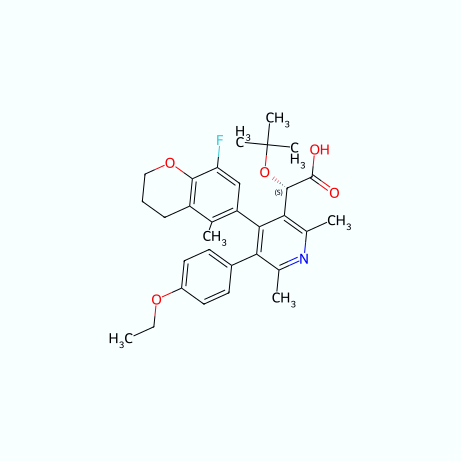 CCOc1ccc(-c2c(C)nc(C)c([C@H](OC(C)(C)C)C(=O)O)c2-c2cc(F)c3c(c2C)CCCO3)cc1